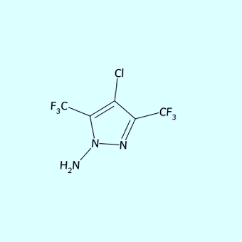 Nn1nc(C(F)(F)F)c(Cl)c1C(F)(F)F